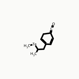 C[Te]C(C)CC1=CCC(=C=O)C=C1